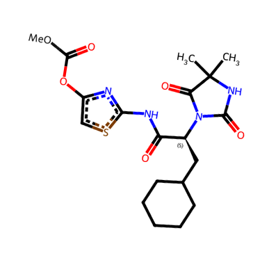 COC(=O)Oc1csc(NC(=O)[C@H](CC2CCCCC2)N2C(=O)NC(C)(C)C2=O)n1